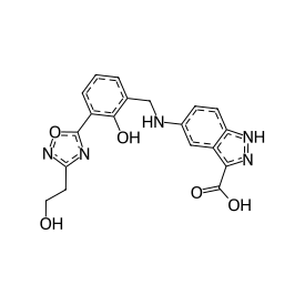 O=C(O)c1n[nH]c2ccc(NCc3cccc(-c4nc(CCO)no4)c3O)cc12